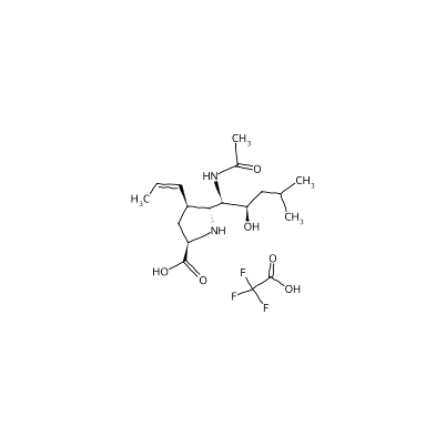 C/C=C\[C@@H]1C[C@H](C(=O)O)N[C@H]1[C@@H](NC(C)=O)[C@H](O)CC(C)C.O=C(O)C(F)(F)F